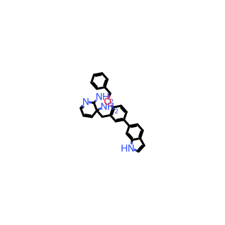 NC1N=CC=CC1(N)Cc1cc(-c2ccc3cc[nH]c3c2)ccc1OCc1ccccc1